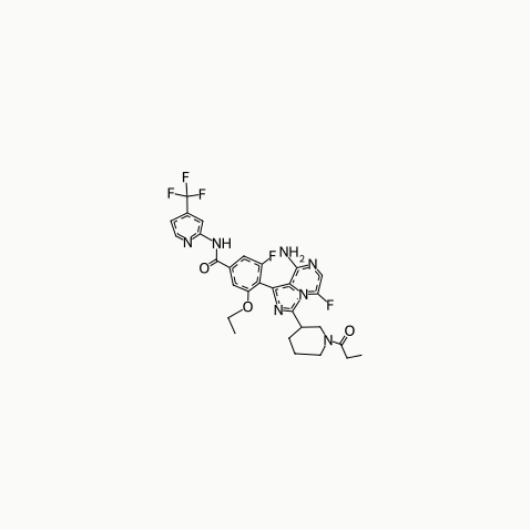 CCOc1cc(C(=O)Nc2cc(C(F)(F)F)ccn2)cc(F)c1-c1nc(C2CCCN(C(=O)CC)C2)n2c(F)cnc(N)c12